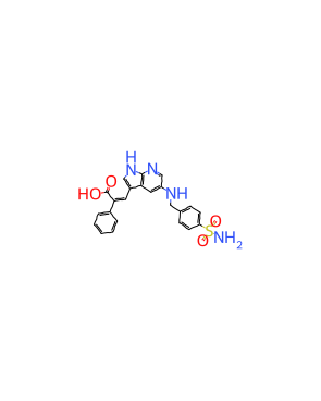 NS(=O)(=O)c1ccc(CNc2cnc3[nH]cc(C=C(C(=O)O)c4ccccc4)c3c2)cc1